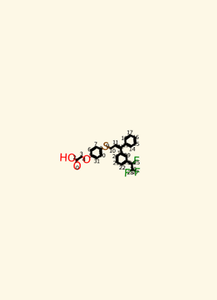 O=C(O)COc1ccc(SCC=C(c2ccccc2)c2cccc(C(F)C(F)F)c2)cc1